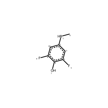 CBc1cc(F)c(O)c(F)c1